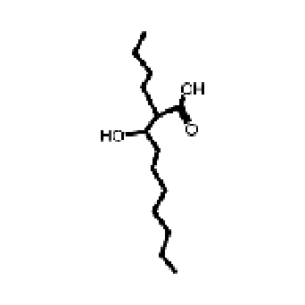 CCCCCCCC(O)C(CCCC)C(=O)O